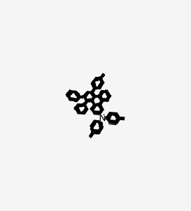 Cc1ccc(-c2cc(-c3ccccc3)c(-c3ccccc3)c3c4ccc(N(c5ccc(C)cc5)c5ccc(C)cc5)cc4c4ccccc4c23)cc1